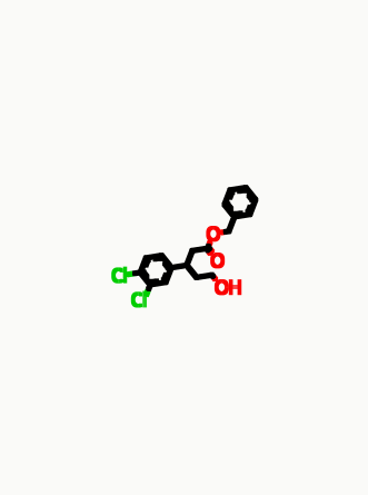 O=C(CC(CCO)c1ccc(Cl)c(Cl)c1)OCc1ccccc1